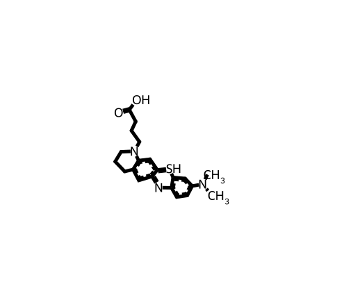 CN(C)c1ccc2c(c1)[SH]=c1cc3c(cc1=N2)CCCN3CCCC(=O)O